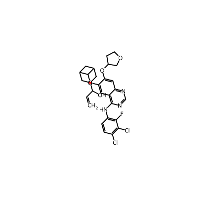 C=CC(O)N1CC2CC(C1)C2Oc1cc2c(Nc3ccc(Cl)c(Cl)c3F)ncnc2cc1OC1CCOC1